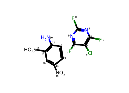 Fc1nc(F)c(Cl)c(F)n1.Nc1ccc([N+](=O)[O-])cc1S(=O)(=O)O